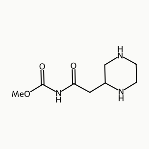 COC(=O)NC(=O)CC1CNCCN1